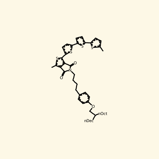 CCCCCCCCCCC(CCCCCCCC)COc1ccc(CCCCN2C(=O)c3c(C)sc(-c4ccc(-c5ccc(-c6ccc(C)s6)s5)s4)c3C2=O)cc1